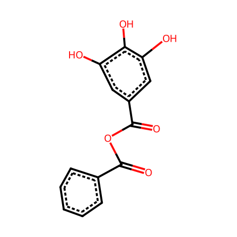 O=C(OC(=O)c1cc(O)c(O)c(O)c1)c1ccccc1